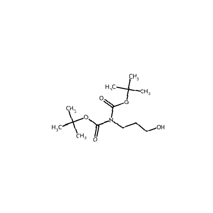 CC(C)(C)OC(=O)N(CCCO)C(=O)OC(C)(C)C